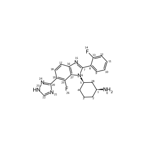 N[C@H]1CCC[C@@H](n2c(-c3ccccc3F)nc3ccc(-c4nc[nH]n4)c(F)c32)C1